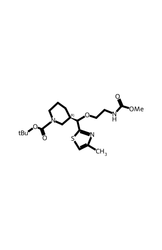 COC(=O)NCCOC(c1nc(C)cs1)[C@@H]1CCCN(C(=O)OC(C)(C)C)C1